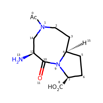 CC(=O)N1CC[C@H]2CC[C@@H](C(=O)O)N2C(=O)[C@@H](N)C1